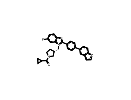 O=C(C1CC1)N1CC[C@H](Cn2c(-c3ccc(-c4ccc5occc5c4)cc3)nc3ccc(F)cc32)C1